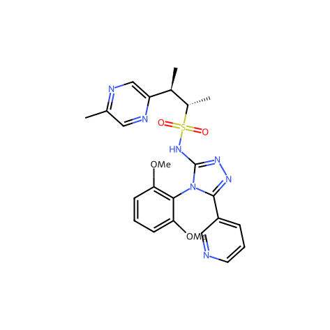 COc1cccc(OC)c1-n1c(NS(=O)(=O)[C@@H](C)[C@H](C)c2cnc(C)cn2)nnc1-c1cccnc1